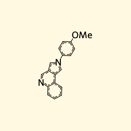 COc1ccc(-n2cc3cnc4ccccc4c3c2)cc1